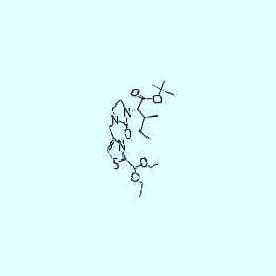 CCOC(OCC)c1nc(CN2CCN([C@H](C(=O)OC(C)(C)C)[C@@H](C)CC)C2=O)cs1